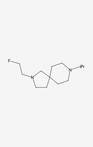 CC(C)N1CCC2(CCN(CCF)C2)CC1